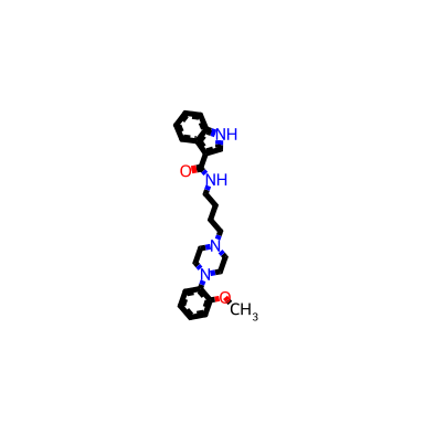 COc1ccccc1N1CCN(CCCCNC(=O)c2c[nH]c3ccccc23)CC1